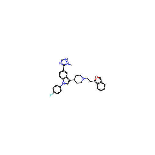 Cn1ncnc1-c1ccc2c(c1)c(C1CCN(CCc3occ4ccccc34)CC1)cn2-c1ccc(F)cc1